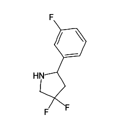 Fc1cccc(C2CC(F)(F)CN2)c1